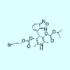 CC1=C(OC(=O)OCCBr)C(c2cccc3nonc23)C(OC(=O)OC(C)C)=C(C)N1